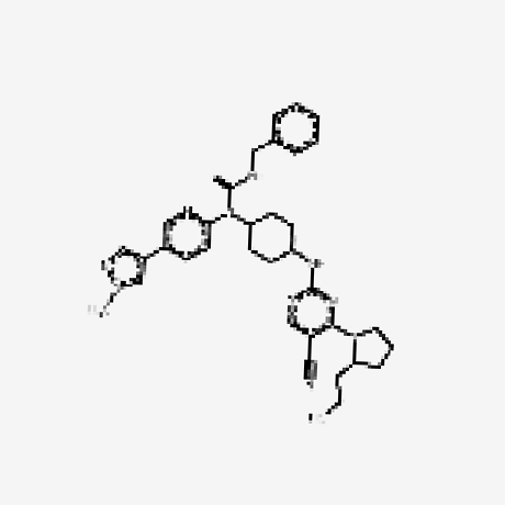 Cn1cc(-c2ccc(N(C(=O)NCc3ccccc3)C3CCC(Nc4ncc(C#N)c(N5CCCC5CCO)n4)CC3)nc2)cn1